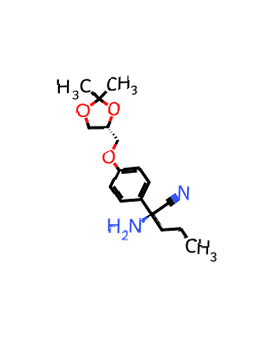 CCC[C@@](N)(C#N)c1ccc(OC[C@@H]2COC(C)(C)O2)cc1